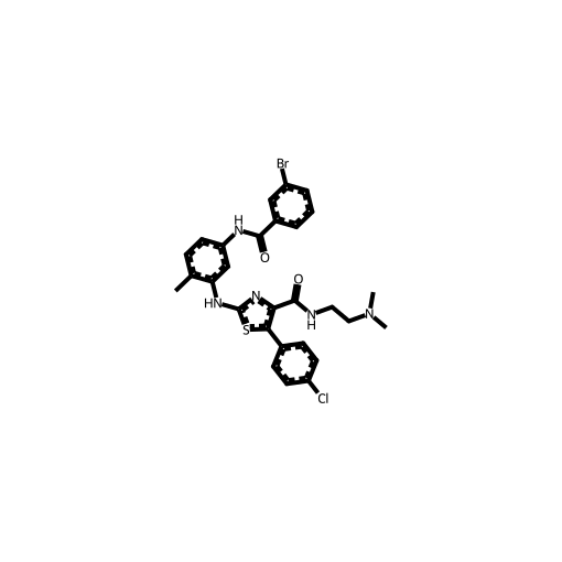 Cc1ccc(NC(=O)c2cccc(Br)c2)cc1Nc1nc(C(=O)NCCN(C)C)c(-c2ccc(Cl)cc2)s1